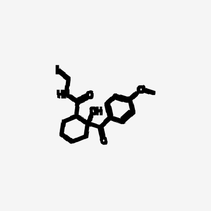 COc1ccc(C(=O)C2(O)CCCCC2C(=O)NCI)cc1